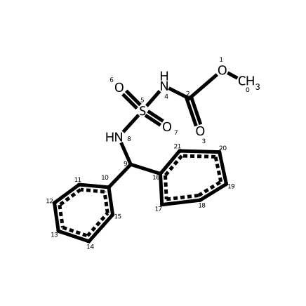 COC(=O)NS(=O)(=O)NC(c1ccccc1)c1ccccc1